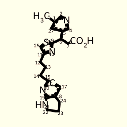 Cc1cncc(C(CC(=O)O)c2nc(CCCc3ccc4c(n3)NCCC4)cs2)c1